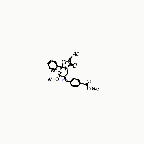 COC(=O)/C(=C/c1ccc(C(=O)OC)cc1)CN(C(=O)CC(C)=O)C(C)(C(=O)O)c1ccccc1